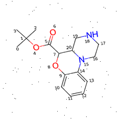 CC(C)(C)OC(=O)C1Oc2ccccc2N2CCNCC12